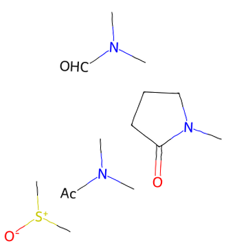 CC(=O)N(C)C.CN(C)C=O.CN1CCCC1=O.C[S+](C)[O-]